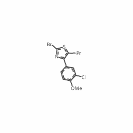 COc1ccc(-c2nc(Br)sc2C(C)C)cc1Cl